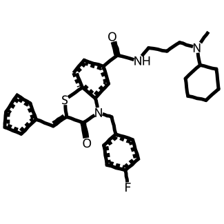 CN(CCCNC(=O)c1ccc2c(c1)N(Cc1ccc(F)cc1)C(=O)/C(=C/c1ccccc1)S2)C1CCCCC1